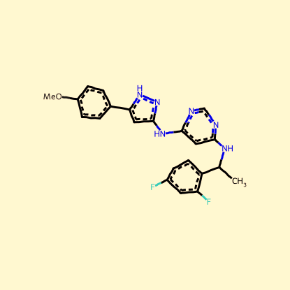 COc1ccc(-c2cc(Nc3cc(NC(C)c4ccc(F)cc4F)ncn3)n[nH]2)cc1